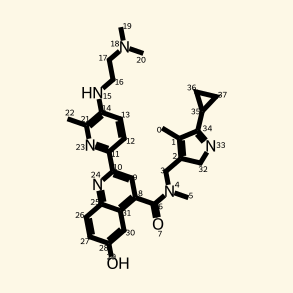 CC1=C(CN(C)C(=O)c2cc(-c3ccc(NCCN(C)C)c(C)n3)nc3ccc(O)cc23)CN=C1C1CC1